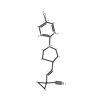 N#CC1(/C=C/C2CCN(c3ncc(Cl)cn3)CC2)CC1